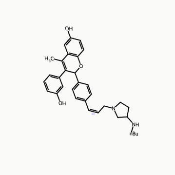 CCCCNC1CCN(C/C=C\c2ccc(C3Oc4ccc(O)cc4C(C)=C3c3cccc(O)c3)cc2)C1